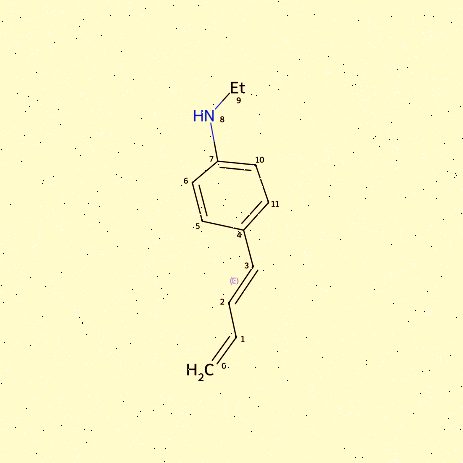 C=C/C=C/c1ccc(NCC)cc1